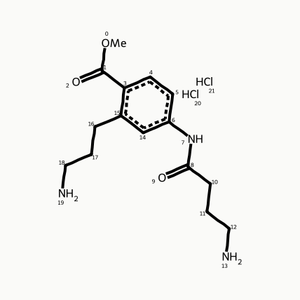 COC(=O)c1ccc(NC(=O)CCCN)cc1CCCN.Cl.Cl